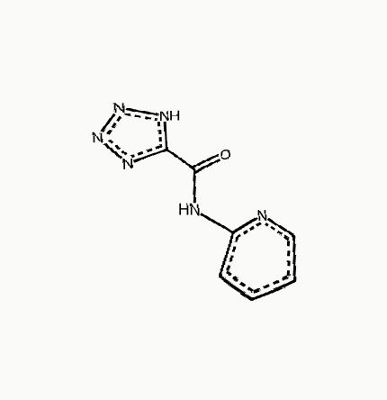 O=C(Nc1ccccn1)c1nnn[nH]1